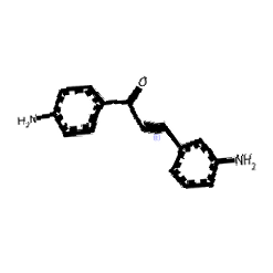 Nc1ccc(C(=O)/C=C/c2cccc(N)c2)cc1